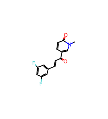 Cn1cc(C(=O)C=Cc2cc(F)cc(F)c2)ccc1=O